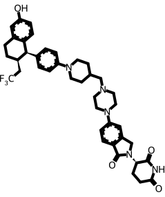 O=C1CC[C@H](N2Cc3cc(N4CCN(CC5CCN(c6ccc([C@@H]7c8ccc(O)cc8CC[C@@H]7CC(F)(F)F)cc6)CC5)CC4)ccc3C2=O)C(=O)N1